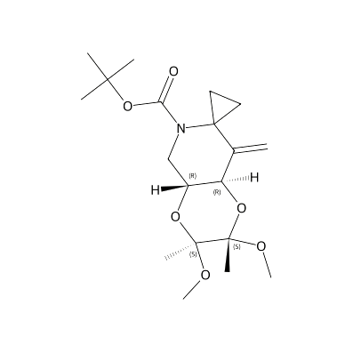 C=C1[C@H]2O[C@](C)(OC)[C@@](C)(OC)O[C@@H]2CN(C(=O)OC(C)(C)C)C12CC2